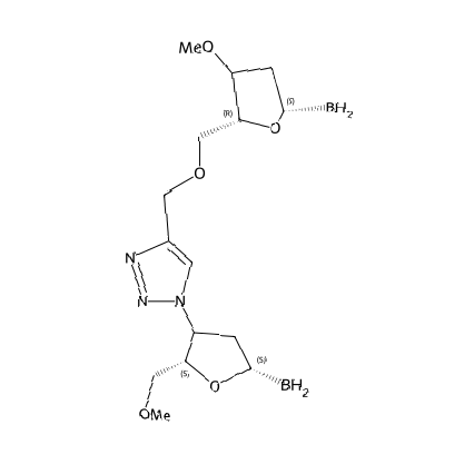 B[C@H]1CC(OC)[C@@H](COCc2cn(C3C[C@H](B)O[C@@H]3COC)nn2)O1